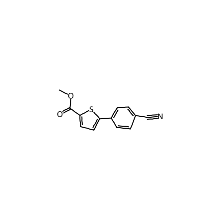 COC(=O)c1ccc(-c2ccc(C#N)cc2)s1